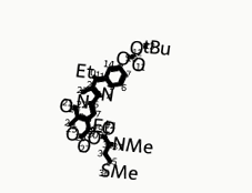 CCc1c2c(nc3ccc(OC(=O)OC(C)(C)C)cc13)-c1cc3c(c(=O)n1C2)COC(=O)[C@@]3(CC)OC(=O)C(CCSC)NC